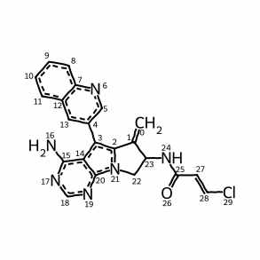 C=C1c2c(-c3cnc4ccccc4c3)c3c(N)ncnc3n2CC1NC(=O)C=CCl